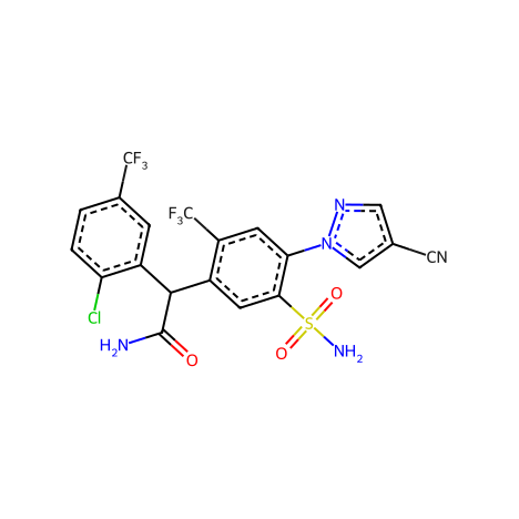 N#Cc1cnn(-c2cc(C(F)(F)F)c(C(C(N)=O)c3cc(C(F)(F)F)ccc3Cl)cc2S(N)(=O)=O)c1